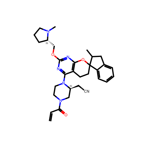 C=CC(=O)N1CCN(c2nc(OC[C@@H]3CCCN3C)nc3c2CCC2(O3)c3ccccc3CC2C)[C@@H](CC#N)C1